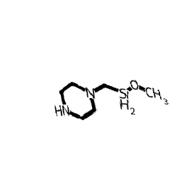 CO[SiH2]CN1CCNCC1